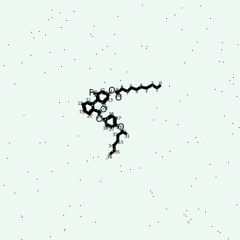 CCCCCCCCCC(=O)Oc1ccc(-c2ccccc2C(=O)Oc2ccc(OC(C)CCCCC)cc2)c(F)c1